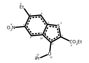 CCOC(=O)c1sc2cc(CC)c([N+](=O)[O-])cc2c1OC(C)C